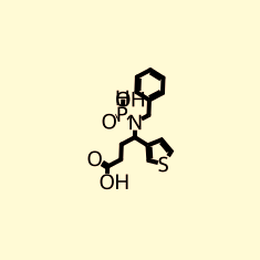 O=C(O)CCC(c1ccsc1)N(Cc1ccccc1)[PH](=O)O